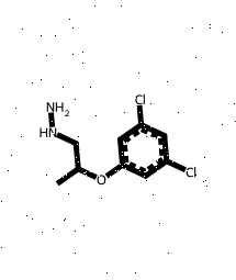 CC(CNN)Oc1cc(Cl)cc(Cl)c1